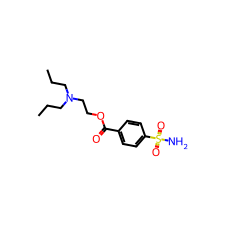 CCCN(CCC)CCOC(=O)c1ccc(S(N)(=O)=O)cc1